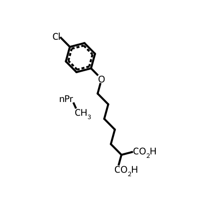 CCCC.O=C(O)C(CCCCCOc1ccc(Cl)cc1)C(=O)O